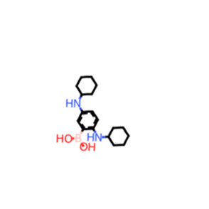 OB(O)c1cc(NC2CCCCC2)ccc1NC1CCCCC1